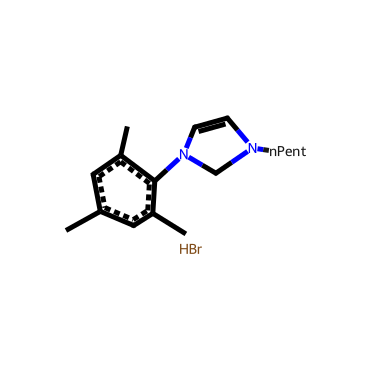 Br.CCCCCN1C=CN(c2c(C)cc(C)cc2C)C1